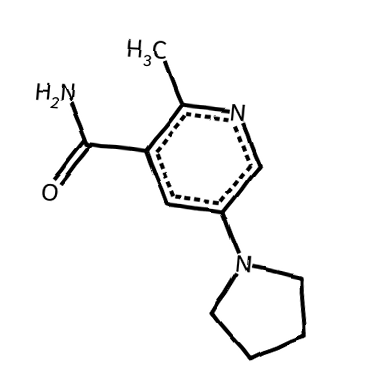 Cc1ncc(N2CCCC2)cc1C(N)=O